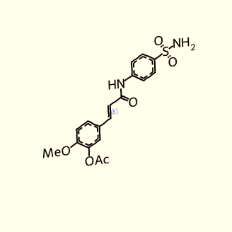 COc1ccc(/C=C/C(=O)Nc2ccc(S(N)(=O)=O)cc2)cc1OC(C)=O